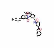 COc1ccc(-c2nc3cc(-c4cc5ccccc5o4)ccc3o2)cc1N1C(=O)c2ccc(C(=O)O)cc2C1=O